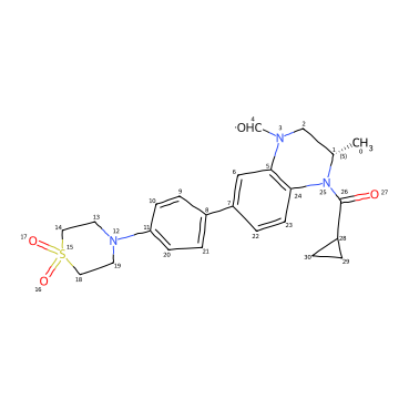 C[C@H]1CN([C]=O)c2cc(-c3ccc(N4CCS(=O)(=O)CC4)cc3)ccc2N1C(=O)C1CC1